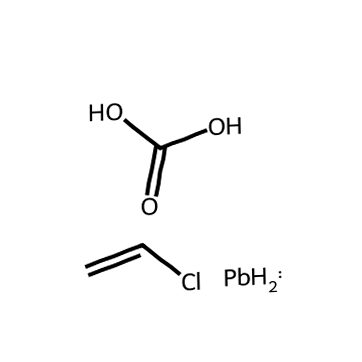 C=CCl.O=C(O)O.[PbH2]